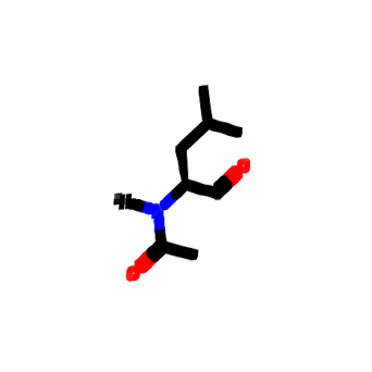 [2H]N(C(C)=O)[C@H]([C]=O)CC(C)C